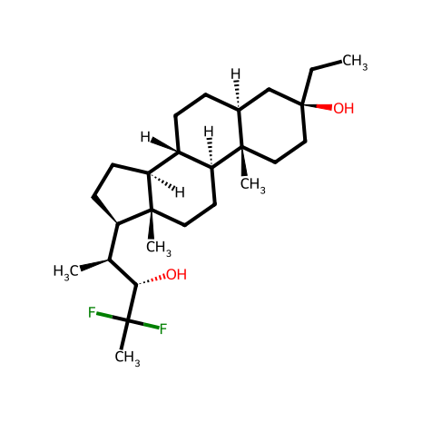 CC[C@]1(O)CC[C@@]2(C)[C@@H](CC[C@@H]3[C@@H]2CC[C@]2(C)[C@@H]([C@H](C)[C@H](O)C(C)(F)F)CC[C@@H]32)C1